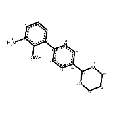 COc1c(N)cccc1-c1ccc(C2OCCCO2)cn1